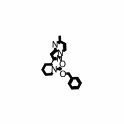 Cc1ccn2nc([C@@H]3CCCCN3C(=O)OCc3ccccc3)cc2n1